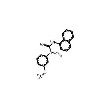 CN(C(=N)Nc1cccc2ccccc12)c1cccc(SC(F)(F)F)c1